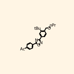 CCCOCc1ccc(-c2noc(-c3ccc(C(C)=O)cc3)n2)cc1C(C)(C)C